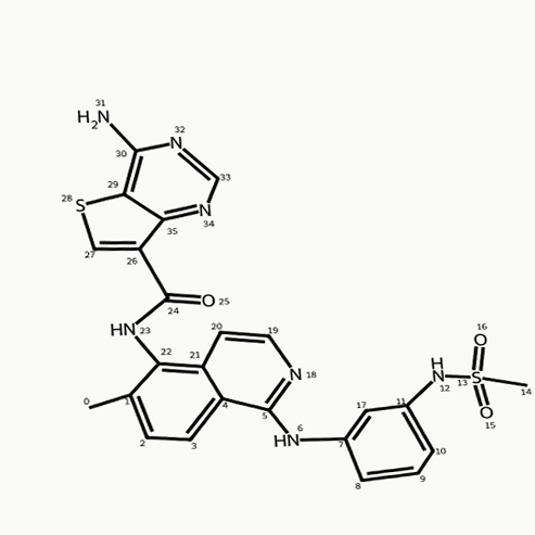 Cc1ccc2c(Nc3cccc(NS(C)(=O)=O)c3)nccc2c1NC(=O)c1csc2c(N)ncnc12